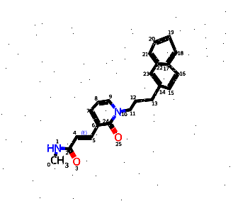 CNC(=O)/C=C/c1cccn(CCCc2ccc3ccccc3c2)c1=O